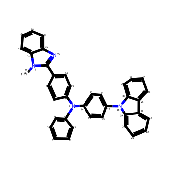 CCCn1c(-c2ccc(N(c3ccccc3)c3ccc(-n4c5ccccc5c5ccccc54)cc3)cc2)nc2ccccc21